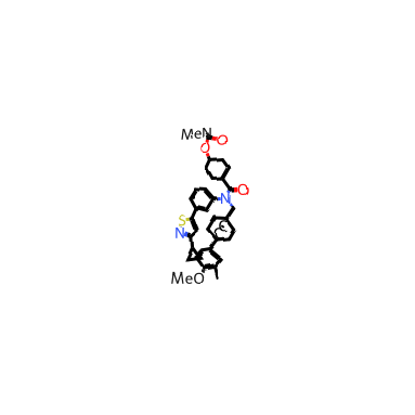 CNC(=O)OC1CCC(C(=O)N(CC23CCC(c4ccc(OC)c(C)c4)(CC2)CC3)c2cccc(-c3cc(C4CC4)ns3)c2)CC1